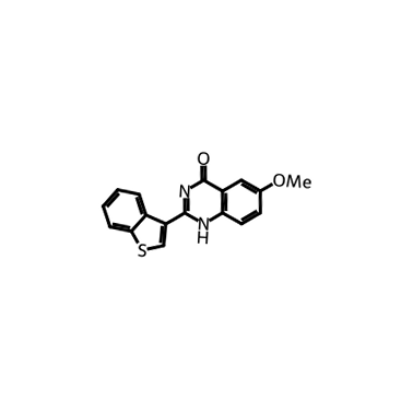 COc1ccc2[nH]c(-c3csc4ccccc34)nc(=O)c2c1